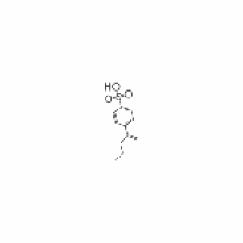 C=C(CCC)c1ccc(S(=O)(=O)O)cc1